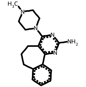 CN1CCN(c2nc(N)nc3c2CCCc2ccccc2-3)CC1